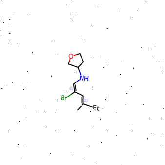 CC/C(C)=C/C(Br)=C\NC1CCOC1